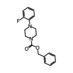 O=C(OCc1ccccc1)N1CCN(c2ccccc2F)CC1